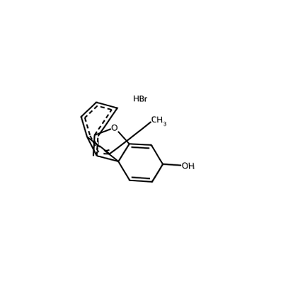 Br.CC1=CC23C=CC(O)C=C2Oc2cccc(c23)C=N1